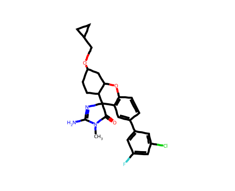 CN1C(=O)C2(N=C1N)c1cc(-c3cc(F)cc(Cl)c3)ccc1OC1CC(OCC3CC3)CCC12